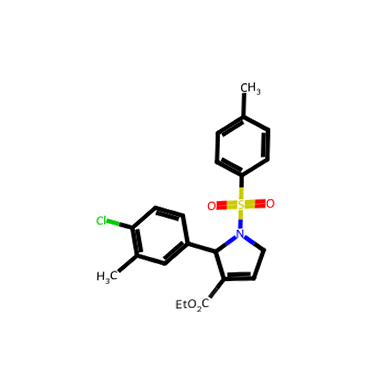 CCOC(=O)C1=CCN(S(=O)(=O)c2ccc(C)cc2)C1c1ccc(Cl)c(C)c1